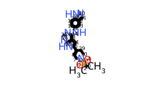 CC(C)S(=O)(=O)N1CC=C(c2cc3c(Nc4ccc5[nH]ncc5c4)ncnc3[nH]2)CC1